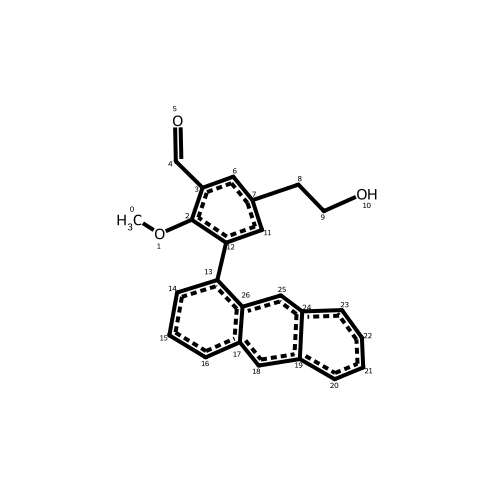 COc1c(C=O)cc(CCO)cc1-c1cccc2cc3ccccc3cc12